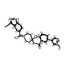 Cc1n[nH]c2ccc(C(=O)N3CCC4(CC3)CC(=O)c3cc(-c5cnn(C)c5)ccc3O4)cc12